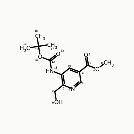 COC(=O)c1cnc(CO)c(NC(=O)OC(C)(C)C)c1